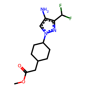 COC(=O)CC1CCC(n2cc(N)c(C(F)F)n2)CC1